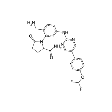 NCc1ccc(Nc2ncc(-c3ccc(OC(F)F)cc3)cn2)cc1N1C(=O)CCC1C(N)=O